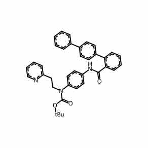 CC(C)(C)OC(=O)N(CCc1ccccn1)c1ccc(NC(=O)c2ccccc2-c2ccc(-c3ccccc3)cc2)cc1